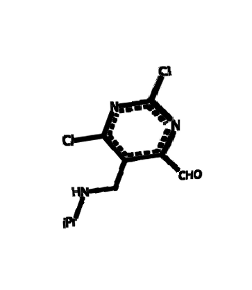 CC(C)NCc1c(Cl)nc(Cl)nc1C=O